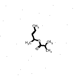 CCCC(C)OC(=O)C(C)C